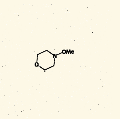 CON1C[CH]OCC1